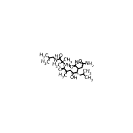 CC(C)CNC(=O)C(C)(C)NC(=O)[C@H](C)C[C@H](O)[C@@H](CC(C)C)C(CC(N)=O)C(N)=O